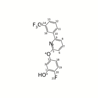 Oc1cc(Oc2cccc(-c3cccc(C(F)(F)F)c3)n2)ccc1F